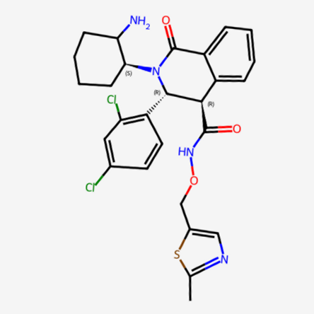 Cc1ncc(CONC(=O)[C@@H]2c3ccccc3C(=O)N([C@H]3CCCCC3N)[C@H]2c2ccc(Cl)cc2Cl)s1